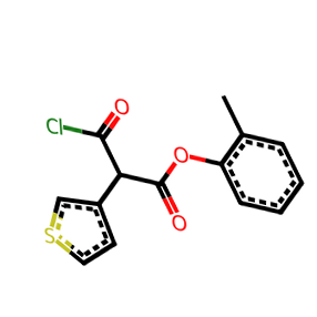 Cc1ccccc1OC(=O)C(C(=O)Cl)c1ccsc1